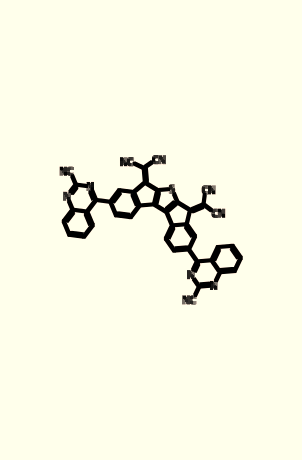 N#CC(C#N)=C1c2cc(-c3nc(C#N)nc4ccccc34)ccc2-c2c1sc1c2-c2ccc(-c3nc(C#N)nc4ccccc34)cc2C1=C(C#N)C#N